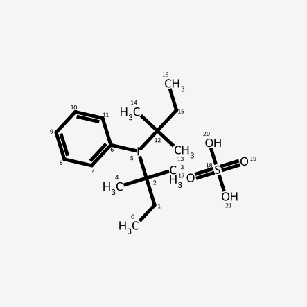 CCC(C)(C)I(c1ccccc1)C(C)(C)CC.O=S(=O)(O)O